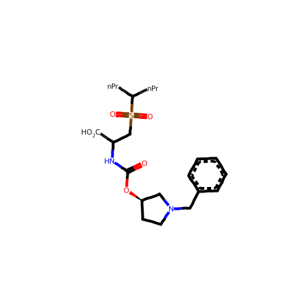 CCCC(CCC)S(=O)(=O)CC(NC(=O)O[C@@H]1CCN(Cc2ccccc2)C1)C(=O)O